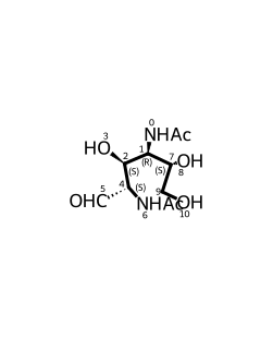 CC(=O)N[C@H]([C@H](O)[C@@H](C=O)NC(C)=O)[C@H](O)CO